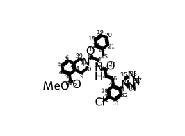 COC(=O)c1cccc2c1CCN(C(=O)[C@H](Cc1ccccc1)NC(=O)/C=C/c1cc(Cl)ccc1-n1cnnn1)C2